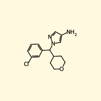 Nc1cnn(C(c2cccc(Cl)c2)C2CCOCC2)c1